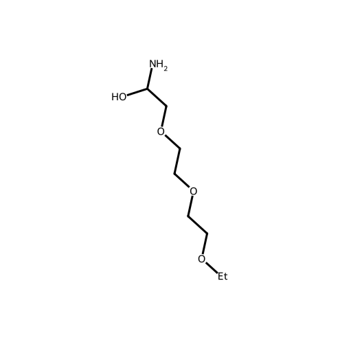 CCOCCOCCOCC(N)O